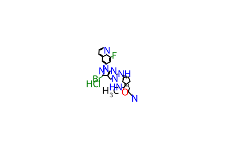 CNC(=O)[C@]1(CCC#N)CC[C@@H](Nc2ncc3c(Br)nn(-c4cc(F)c5ncccc5c4)c3n2)C1.Cl